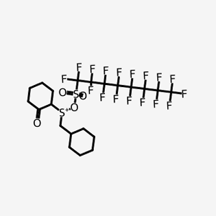 O=C1CCCCC1[S+](CC1CCCCC1)OS(=O)(=O)C(F)(F)C(F)(F)C(F)(F)C(F)(F)C(F)(F)C(F)(F)C(F)(F)C(F)(F)F